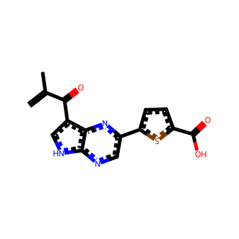 C=C(C)C(=O)c1c[nH]c2ncc(-c3ccc(C(=O)O)s3)nc12